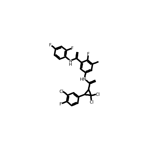 C=C(Nc1ccc(F)cc1F)c1cc(NC(=C)C2C(c3ccc(F)c(Cl)c3)C2(Cl)Cl)cc(C)c1F